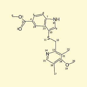 COC(=O)c1ccc2[nH]cc(SCc3ncc(C)c(OC)c3C)c2c1